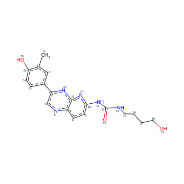 Cc1cc(-c2cnc3ccc(NC(=O)NCCCCO)nc3n2)ccc1O